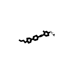 CCCCc1ccc(-c2ccc(C#Cc3ccc(N=C=S)cc3C)cc2)cc1